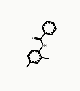 Cc1cc(Cl)ccc1NC(=O)c1ccccc1